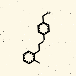 NCc1ccc(OCCc2ccccc2F)cc1